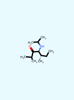 CC[C@H](C)[C@H](NC(C)C)C(=O)C(C)C